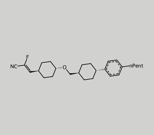 CCCCCc1ccc([C@H]2CC[C@H](CO[C@H]3CC[C@H](C=C(F)C#N)CC3)CC2)cc1